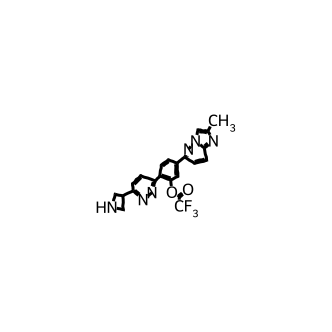 Cc1cn2nc(-c3ccc(-c4ccc(C5CNC5)nn4)c(OC(=O)C(F)(F)F)c3)ccc2n1